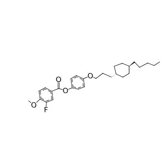 CCCCC[C@H]1CC[C@H](CCCOc2ccc(OC(=O)c3ccc(OC)c(F)c3)cc2)CC1